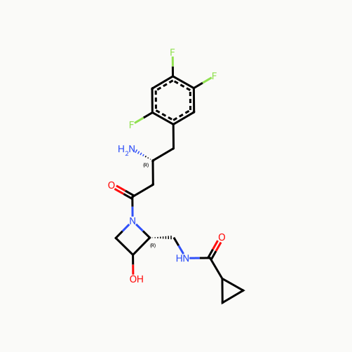 N[C@@H](CC(=O)N1CC(O)[C@H]1CNC(=O)C1CC1)Cc1cc(F)c(F)cc1F